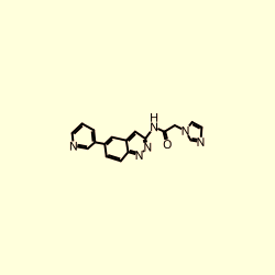 O=C(Cn1ccnc1)Nc1cc2cc(-c3cccnc3)ccc2nn1